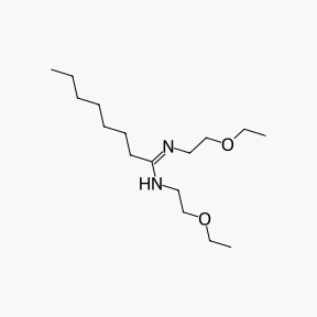 CCCCCCCC(=NCCOCC)NCCOCC